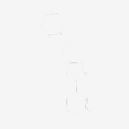 c1ccc(-c2cn(CCN3CCOCC3)cn2)cc1